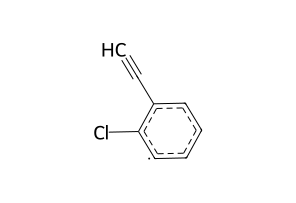 C#Cc1ccc[c]c1Cl